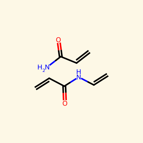 C=CC(N)=O.C=CNC(=O)C=C